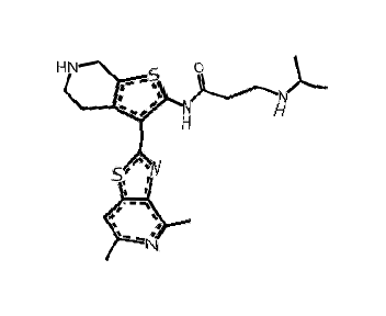 Cc1cc2sc(-c3c(NC(=O)CCNC(C)C)sc4c3CCNC4)nc2c(C)n1